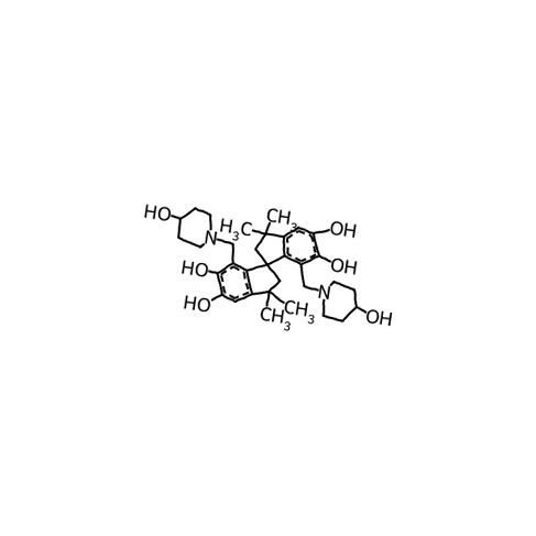 CC1(C)CC2(CC(C)(C)c3cc(O)c(O)c(CN4CCC(O)CC4)c32)c2c1cc(O)c(O)c2CN1CCC(O)CC1